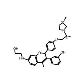 CC1=C(c2cccc(O)c2)C(c2ccc(OC[C@H](C)N3CC[C@@H](C)C3)cc2)Oc2cc(NCCO)ccc21